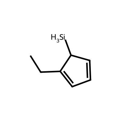 CCC1=CC=CC1[SiH3]